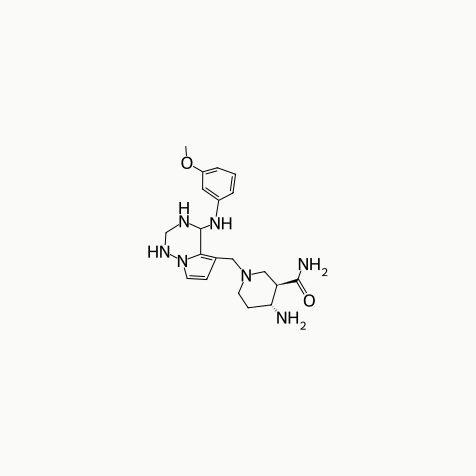 COc1cccc(NC2NCNn3ccc(CN4CC[C@@H](N)[C@H](C(N)=O)C4)c32)c1